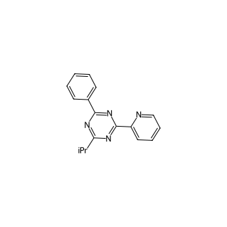 CC(C)c1nc(-c2ccccc2)nc(-c2ccccn2)n1